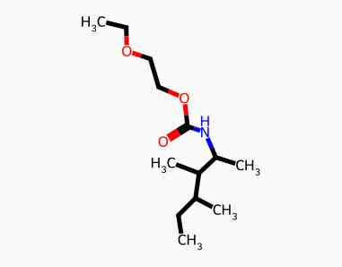 CCOCCOC(=O)NC(C)C(C)C(C)CC